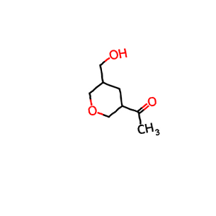 CC(=O)C1COCC(CO)C1